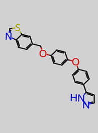 c1cc(-c2ccc(Oc3ccc(OCc4ccc5ncsc5c4)cc3)cc2)[nH]n1